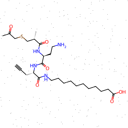 C#CC[C@H](NC(=O)[C@H](CCN)NC(=O)[C@@H](C)CSCC(C)=O)C(=O)NCCCCCCCCCCC(=O)O